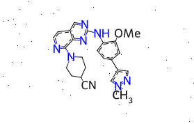 COc1cc(-c2cnn(C)c2)ccc1Nc1ncc2ccnc(N3CCC(C#N)CC3)c2n1